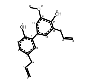 C=CCc1ccc(O)c(-c2cc(CC=C)c(O)c(OC)c2)c1